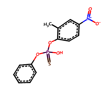 Cc1cc([N+](=O)[O-])ccc1OP(O)(=S)Oc1ccccc1